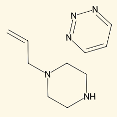 C=CCN1CCNCC1.c1cnnnc1